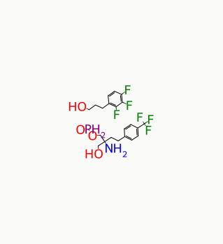 NC(CO)(CCc1ccc(C(F)(F)F)cc1)CO[PH2]=O.OCCCc1ccc(F)c(F)c1F